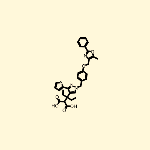 CCC(CC)(c1cn(Cc2ccc(OCc3nc(-c4ccccc4)oc3C)cc2)nc1-c1cccs1)C(C(=O)O)C(=O)O